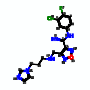 N=C(Nc1ccc(F)c(Cl)c1)c1nonc1CNCCCn1ccnc1